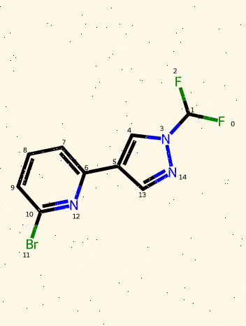 FC(F)n1cc(-c2cccc(Br)n2)cn1